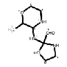 CC1OCCNC1NC1(C=O)NCCO1